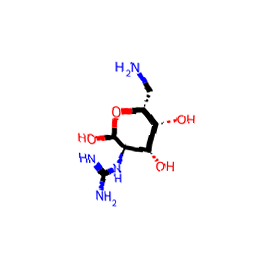 N=C(N)N[C@H]1C(O)O[C@H](CN)[C@H](O)[C@@H]1O